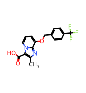 Cc1nc2c(OCc3ccc(C(F)(F)F)cc3)cccn2c1C(=O)O